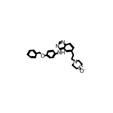 [O-][S+]1CCN(CCc2ccc3ncnc(Nc4ccc(OCc5ccccc5)cc4)c3c2)CC1